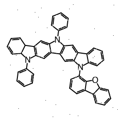 C1=CC2c3cc4c(cc3N(c3ccccc3)C2C=C1)c1cc2c(cc1n4-c1ccccc1)c1ccccc1n2-c1cccc2c1oc1ccccc12